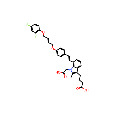 Cc1c(CCCC(=O)O)c2cccc(C=Cc3ccc(OC/C=C/COc4ccc(F)cc4F)cc3)c2n1CC(=O)O